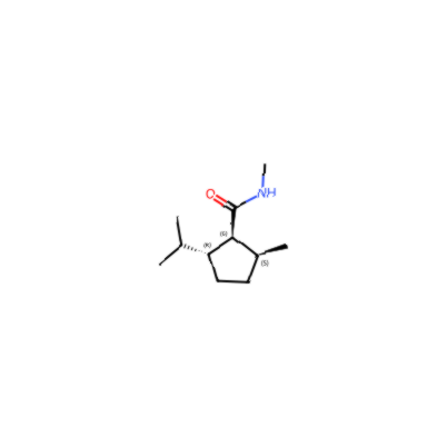 CNC(=O)[C@@H]1[C@@H](C(C)C)CC[C@@H]1C